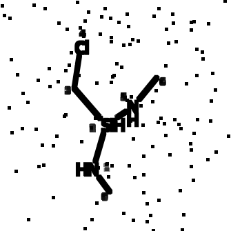 CN[SiH](CCl)NC